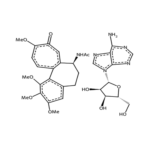 COc1cc2c(c(OC)c1OC)-c1ccc(OC)c(=O)cc1[C@@H](NC(C)=O)CC2.Nc1ncnc2c1ncn2[C@@H]1O[C@H](CO)[C@@H](O)[C@H]1O